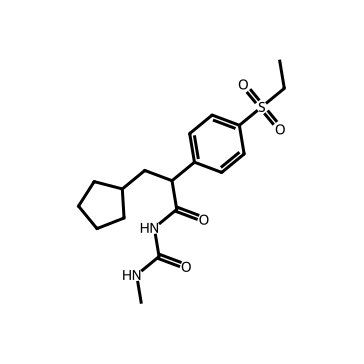 CCS(=O)(=O)c1ccc(C(CC2CCCC2)C(=O)NC(=O)NC)cc1